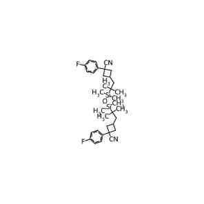 CC(C)(CC1CC(C#N)(c2ccc(F)cc2)C1)[Si](C)(C)O[Si](C)(C)C(C)(C)CC1CC(C#N)(c2ccc(F)cc2)C1